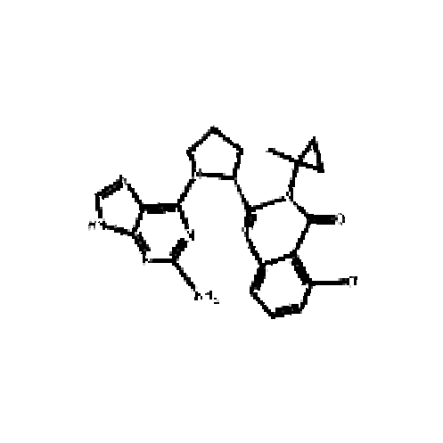 CC1(n2c([C@@H]3CCCN3c3nc(N)nc4[nH]cnc34)nc3cccc(Cl)c3c2=O)CC1